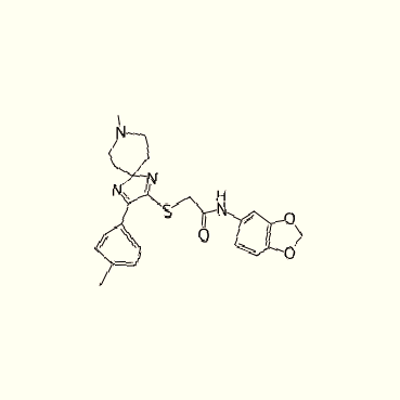 Cc1ccc(C2=NC3(CCN(C)CC3)N=C2SCC(=O)Nc2ccc3c(c2)OCO3)cc1